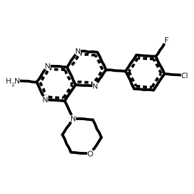 Nc1nc(N2CCOCC2)c2nc(-c3ccc(Cl)c(F)c3)cnc2n1